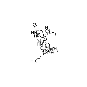 C=C(C)[C@@H]1CCC(C)=C[C@H]1C1C(OCNCC2=C(C(=O)OCC(C)C)N3C(=O)[C@@H](NC(=O)Cc4cccs4)[C@H]3CC2)=CC(CCCCC)=CC1(C)O